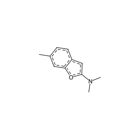 Cc1ccc2cc(N(C)C)oc2c1